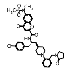 CN(c1ccc2oc(C(=O)N[C@H](C=C3CCN(c4ccccc4CN4CCCC4=O)CC3)Cc3ccc(Cl)cc3)cc(=O)c2c1)S(C)(=O)=O